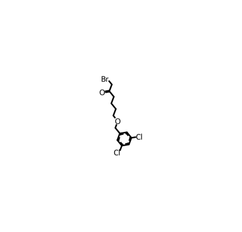 O=C(CBr)CCCCOCc1cc(Cl)cc(Cl)c1